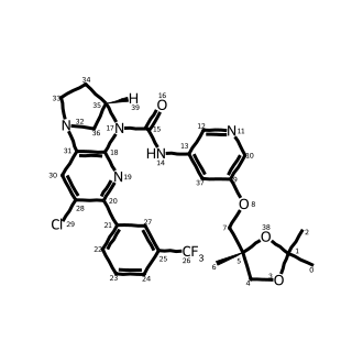 CC1(C)OC[C@](C)(COc2cncc(NC(=O)N3c4nc(-c5cccc(C(F)(F)F)c5)c(Cl)cc4N4CC[C@H]3C4)c2)O1